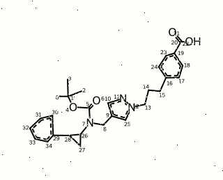 CC(C)(C)OC(=O)N(Cc1cnn(CCCc2ccc(C(=O)O)cc2)c1)C1CC1c1ccccc1